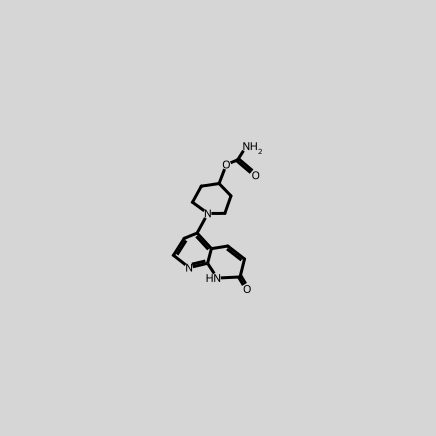 NC(=O)OC1CCN(c2ccnc3[nH]c(=O)ccc23)CC1